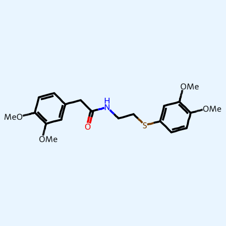 COc1ccc(CC(=O)NCCSc2ccc(OC)c(OC)c2)cc1OC